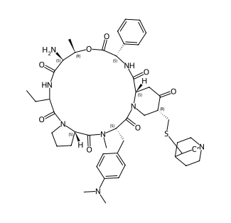 CCC1NC(=O)[C@@H](N)[C@@H](C)OC(=O)[C@H](c2ccccc2)NC(=O)[C@@H]2CC(=O)[C@H](CSC3CN4CCC3CC4)CN2C(=O)[C@H](Cc2ccc(N(C)C)cc2)N(C)C(=O)[C@@H]2CCCN2C1=O